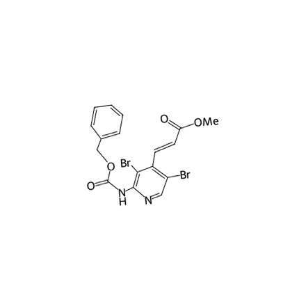 COC(=O)C=Cc1c(Br)cnc(NC(=O)OCc2ccccc2)c1Br